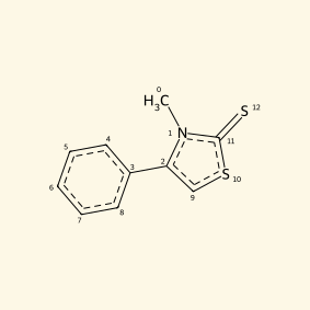 Cn1c(-c2ccccc2)csc1=S